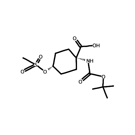 CC(C)(C)OC(=O)N[C@]1(C(=O)O)CC[C@H](OS(C)(=O)=O)CC1